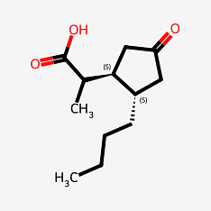 CCCC[C@H]1CC(=O)C[C@@H]1C(C)C(=O)O